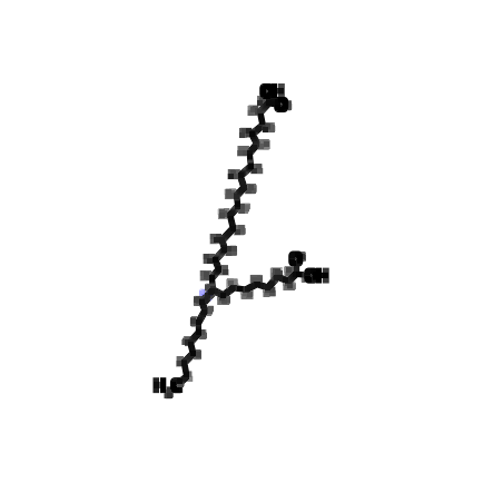 CCCCCCCC/C=C(/CCCCCCCCCCCCCCCCCC(=O)O)CCCCCCCC(=O)O